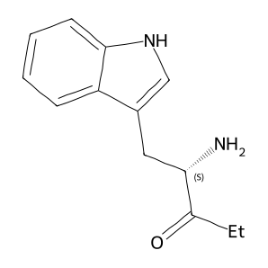 CCC(=O)[C@@H](N)Cc1c[nH]c2ccccc12